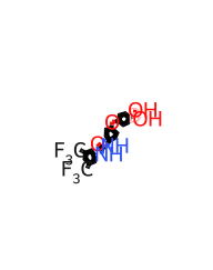 O=C(Nc1ccc(Oc2ccc(B(O)O)cc2)cc1)Nc1cc(C(F)(F)F)cc(C(F)(F)F)c1